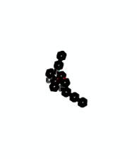 c1ccc(-c2ccc(-c3ccc4oc5c(-c6cc7c(oc8cccc(N(c9ccccc9)c9ccc(-c%10ccccc%10)cc9)c87)c7ccccc67)cccc5c4c3)cc2)cc1